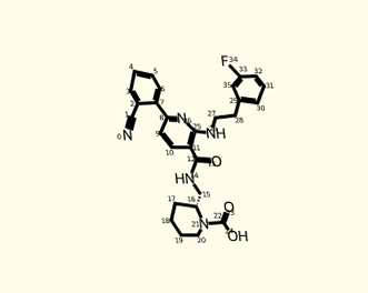 N#Cc1ccccc1-c1ccc(C(=O)NC[C@H]2CCCCN2C(=O)O)c(NCCc2cccc(F)c2)n1